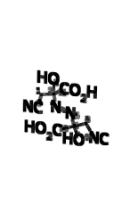 [C-]#[N+]CC(O)(N=NC(O)(C[N+]#[C-])C(=O)O)C(=O)O